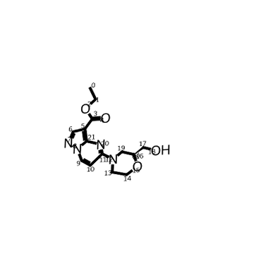 CCOC(=O)c1cnn2ccc(N3CCO[C@H](CO)C3)nc12